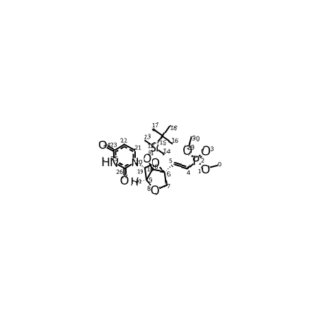 COP(=O)(/C=C/[C@]12CO[C@H](C1O[Si](C)(C)C(C)(C)C)[C@H](n1ccc(=O)[nH]c1=O)O2)OC